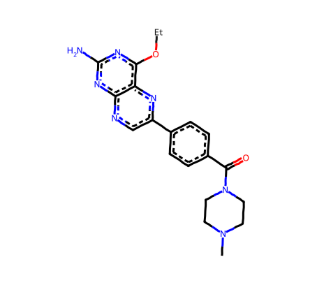 CCOc1nc(N)nc2ncc(-c3ccc(C(=O)N4CCN(C)CC4)cc3)nc12